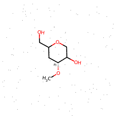 CO[C@@H]1CC(CO)OCC1O